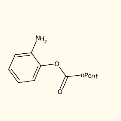 CCCCCC(=O)Oc1ccccc1N